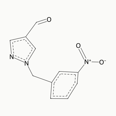 O=Cc1cnn(Cc2cccc([N+](=O)[O-])c2)c1